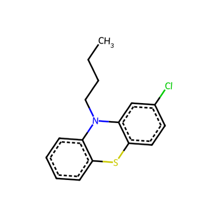 CCCCN1c2ccccc2Sc2ccc(Cl)cc21